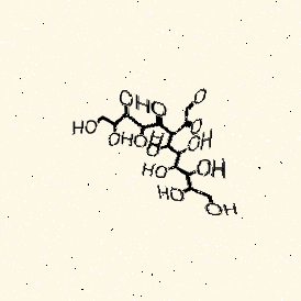 O=CC(=O)C(C(=O)C(O)C(O)C(O)CO)C(O)C(O)C(O)C(O)C(O)CO